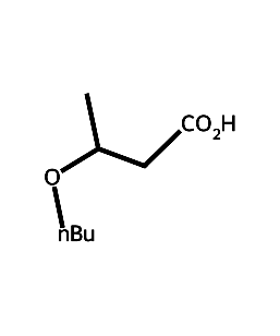 CCCCOC(C)CC(=O)O